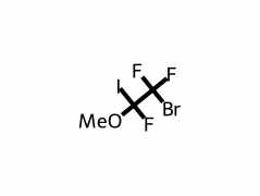 COC(F)(I)C(F)(F)Br